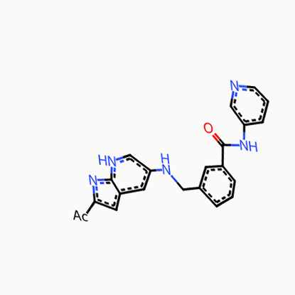 CC(=O)c1cc2cc(NCc3cccc(C(=O)Nc4cccnc4)c3)c[nH]c-2n1